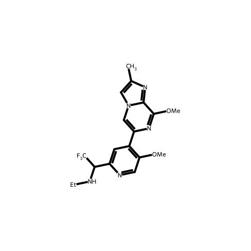 CCNC(c1cc(-c2cn3cc(C)nc3c(OC)n2)c(OC)cn1)C(F)(F)F